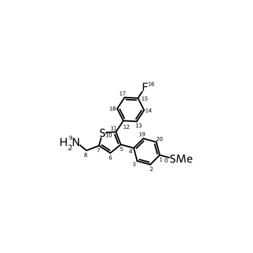 CSc1ccc(-c2cc(CN)sc2-c2ccc(F)cc2)cc1